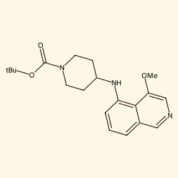 COc1cncc2cccc(NC3CCN(C(=O)OC(C)(C)C)CC3)c12